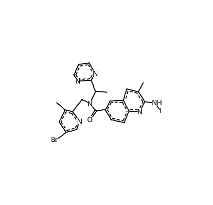 Cc1cc(Br)cnc1CN(C(=O)c1ccc2nc(NI)c(C)cc2c1)C(C)c1ncccn1